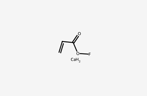 C=CC(=O)OF.[CaH2]